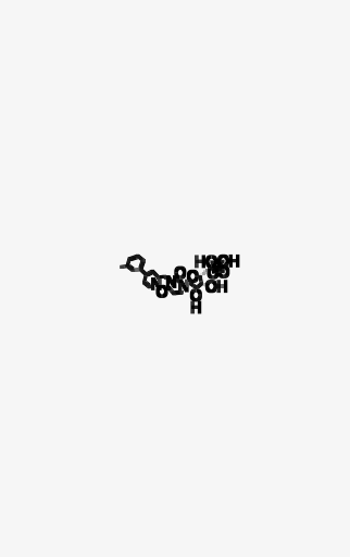 Cc1cccc(-c2ccnc(Cn3c(=O)ccn([C@@H]4O[C@H](COP(=O)(O)O)[C@H](O)C4O)c3=O)c2)c1